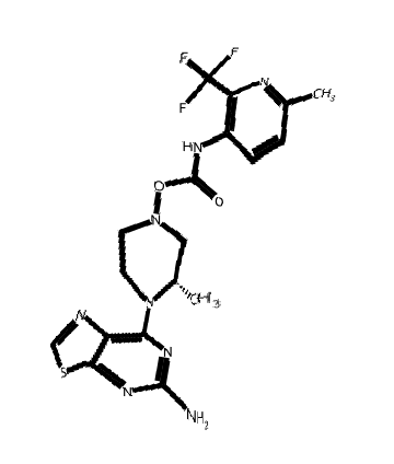 Cc1ccc(NC(=O)ON2CCN(c3nc(N)nc4scnc34)[C@@H](C)C2)c(C(F)(F)F)n1